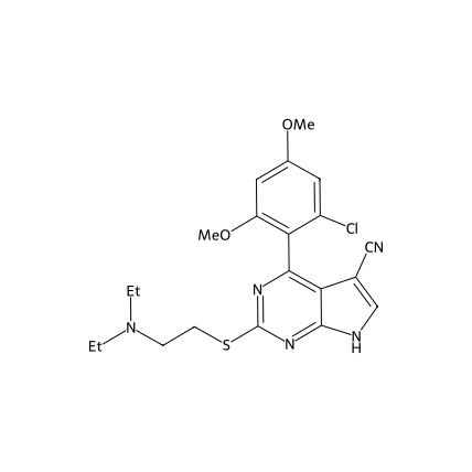 CCN(CC)CCSc1nc(-c2c(Cl)cc(OC)cc2OC)c2c(C#N)c[nH]c2n1